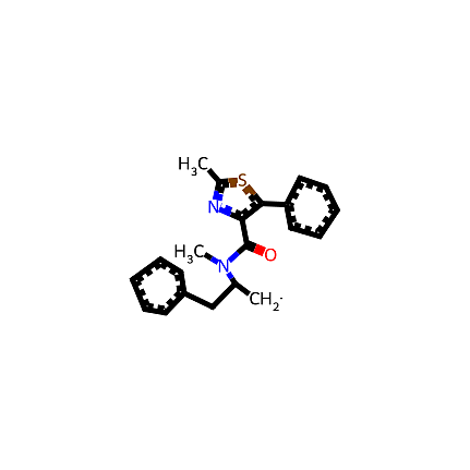 [CH2]C(Cc1ccccc1)N(C)C(=O)c1nc(C)sc1-c1ccccc1